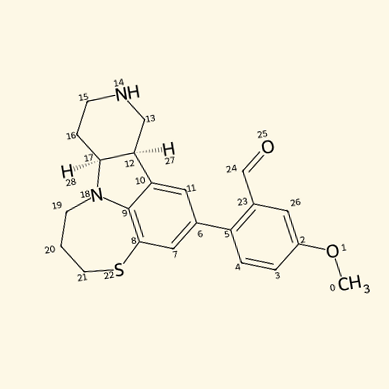 COc1ccc(-c2cc3c4c(c2)[C@@H]2CNCC[C@@H]2N4CCCS3)c(C=O)c1